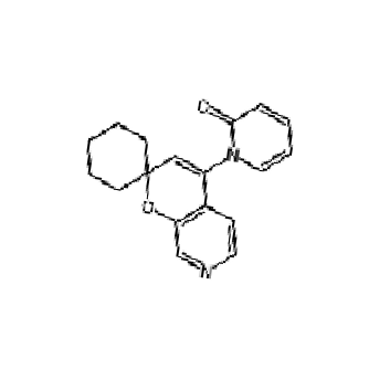 O=c1ccccn1C1=CC2(CCCCC2)Oc2cnccc21